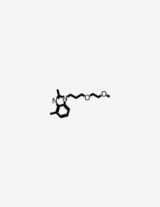 COCCOCCCn1c(C)nc2c(C)cccc21